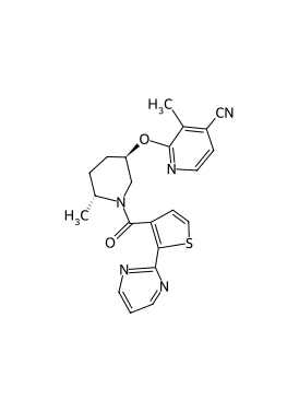 Cc1c(C#N)ccnc1O[C@@H]1CC[C@@H](C)N(C(=O)c2ccsc2-c2ncccn2)C1